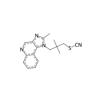 Cc1nc2cnc3ccccc3c2n1CC(C)(C)CSC#N